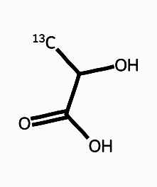 [13CH3]C(O)C(=O)O